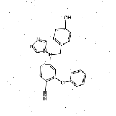 N#Cc1ccc(N(Cc2ccc(O)cc2)n2cnnc2)cc1Oc1ccccc1